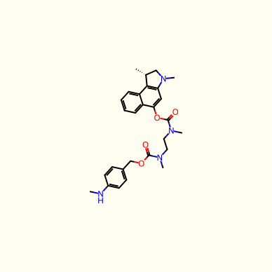 CNc1ccc(COC(=O)N(C)CCN(C)C(=O)Oc2cc3c(c4ccccc24)[C@H](C)CN3C)cc1